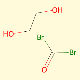 O=C(Br)Br.OCCO